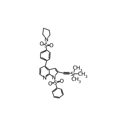 C[Si](C)(C)C#Cc1cc2c(-c3ccc(S(=O)(=O)N4CCCC4)cc3)ccnc2n1S(=O)(=O)c1ccccc1